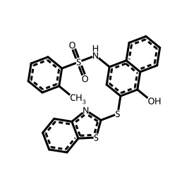 Cc1ccccc1S(=O)(=O)Nc1cc(Sc2nc3ccccc3s2)c(O)c2ccccc12